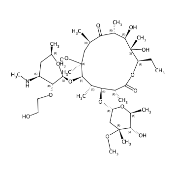 CC[C@H]1OC(=O)[C@H](C)[C@@H](O[C@H]2C[C@@](C)(OC)[C@@H](O)[C@H](C)O2)[C@H](C)[C@@H](O[C@@H]2O[C@H](C)C[C@H](NC)[C@H]2OCCO)[C@@](C)(OC)C[C@@H](C)C(=O)[C@H](C)[C@@H](O)[C@]1(C)O